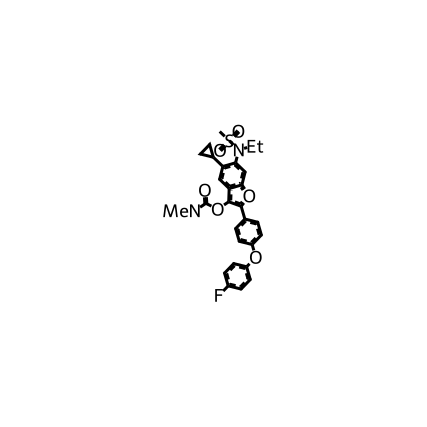 CCN(c1cc2oc(-c3ccc(Oc4ccc(F)cc4)cc3)c(OC(=O)NC)c2cc1C1CC1)S(C)(=O)=O